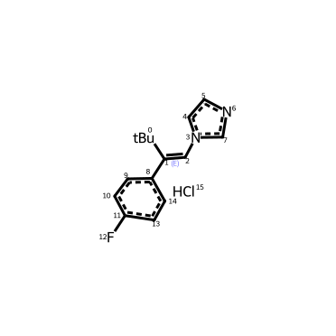 CC(C)(C)/C(=C\n1ccnc1)c1ccc(F)cc1.Cl